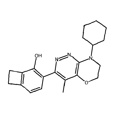 Cc1c(-c2ccc3c(c2O)CC3)nnc2c1OCCN2C1CCCCC1